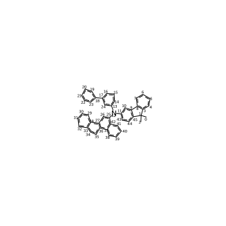 CC1(C)c2ccccc2-c2cc(N(c3cccc(-c4ccccc4)c3)c3cc4c5ccccc5ccc4c4ccccc34)ccc21